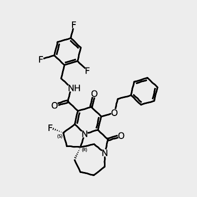 O=C(NCc1c(F)cc(F)cc1F)c1c2n3c(c(OCc4ccccc4)c1=O)C(=O)N1CCCC[C@@]3(C[C@@H]2F)C1